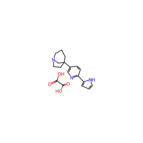 O=C(O)C(=O)O.c1c[nH]c(-c2ccc(C34CCCN(CC3)C4)cn2)c1